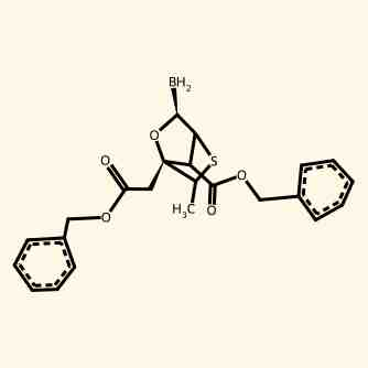 B[C@@H]1O[C@@]2(CC(=O)OCc3ccccc3)C(C)SC1C2C(=O)OCc1ccccc1